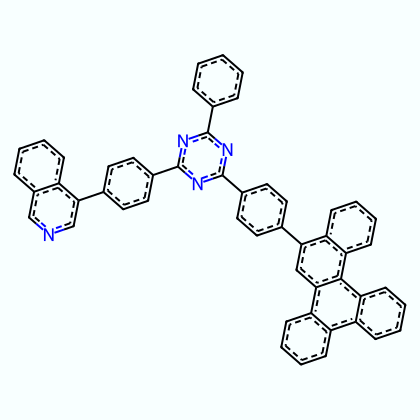 c1ccc(-c2nc(-c3ccc(-c4cncc5ccccc45)cc3)nc(-c3ccc(-c4cc5c6ccccc6c6ccccc6c5c5ccccc45)cc3)n2)cc1